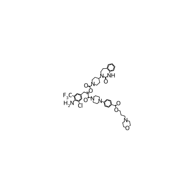 Nc1c(Cl)cc(C[C@@H](OC(=O)N2CCC(N3CCc4ccccc4NC3=O)CC2)C(=O)N2CCN(c3ccc(C(=O)OCCCN4CCOCC4)cc3)CC2)cc1C(F)(F)F